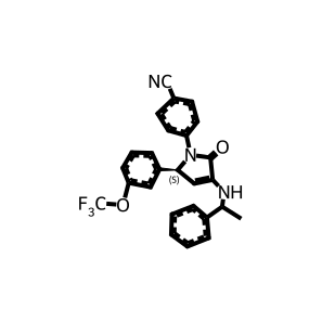 CC(NC1=C[C@@H](c2cccc(OC(F)(F)F)c2)N(c2ccc(C#N)cc2)C1=O)c1ccccc1